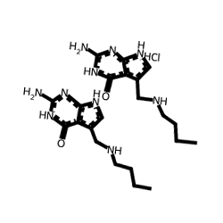 CCCCNCc1c[nH]c2nc(N)[nH]c(=O)c12.CCCCNCc1c[nH]c2nc(N)[nH]c(=O)c12.Cl